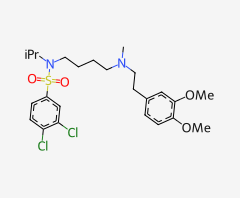 COc1ccc(CCN(C)CCCCN(C(C)C)S(=O)(=O)c2ccc(Cl)c(Cl)c2)cc1OC